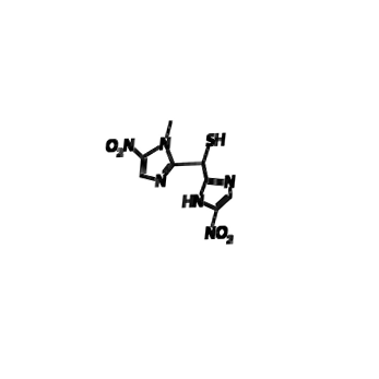 Cn1c([N+](=O)[O-])cnc1C(S)c1ncc([N+](=O)[O-])[nH]1